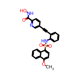 COc1ccc(S(=O)(=O)Nc2ccccc2C#Cc2ccc(C(=O)NO)nc2)c2ccccc12